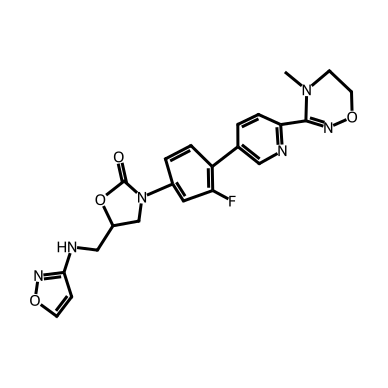 CN1CCON=C1c1ccc(-c2ccc(N3CC(CNc4ccon4)OC3=O)cc2F)cn1